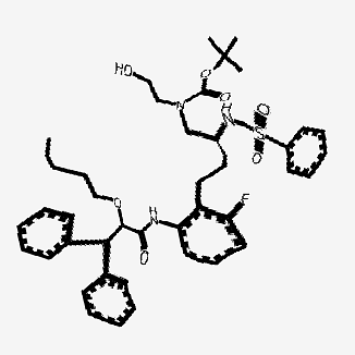 CCCCOC(C(=O)Nc1cccc(F)c1CC[C@@H](CN(CCO)C(=O)OC(C)(C)C)NS(=O)(=O)c1ccccc1)C(c1ccccc1)c1ccccc1